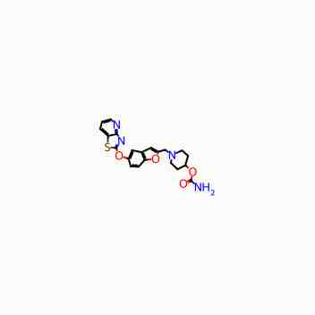 NC(=O)OC1CCN(Cc2cc3cc(Oc4nc5ncccc5s4)ccc3o2)CC1